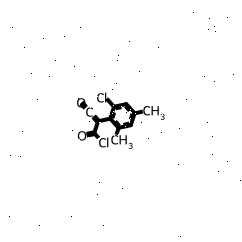 Cc1cc(C)c(C(=C=O)C(=O)Cl)c(Cl)c1